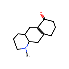 CCN1CCCC2CC3=C(CCCC3=O)CC21